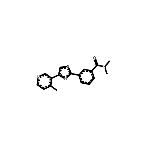 Cc1ccncc1-c1csc(-c2cccc(C(=O)N(C)C)c2)n1